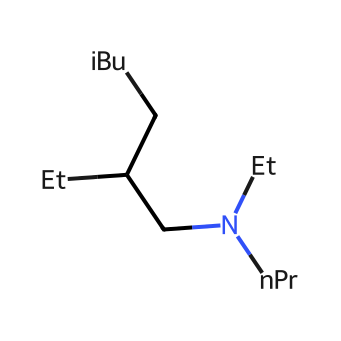 CCCN(CC)CC(CC)CC(C)CC